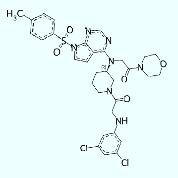 Cc1ccc(S(=O)(=O)n2ccc3c(N(CC(=O)N4CCOCC4)[C@@H]4CCCN(C(=O)CNc5cc(Cl)cc(Cl)c5)C4)ncnc32)cc1